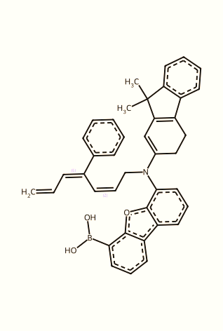 C=C/C=C(\C=C/CN(C1=CC2=C(CC1)c1ccccc1C2(C)C)c1cccc2c1oc1c(B(O)O)cccc12)c1ccccc1